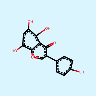 O=c1c(-c2ccc(O)cc2)coc2c(O)cc(O)c(O)c12